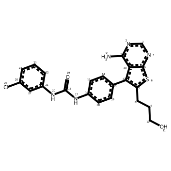 Nc1ncnc2sc(CCCO)c(-c3ccc(NC(=O)Nc4cccc(Cl)c4)cc3)c12